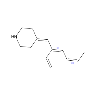 C=C/C(C=C1CCNCC1)=C\C=C/C